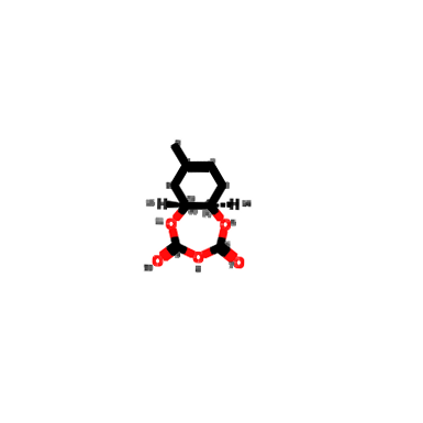 CC1=CC[C@H]2OC(=O)OC(=O)O[C@@H]2C1